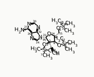 C#C[C@@]1(O[Si](C)(C)C)C(O[Si](C)(C)C)[C@@H](CO[Si](C)(C)C)O[C@H]1n1cnc2c(N)ncnc21